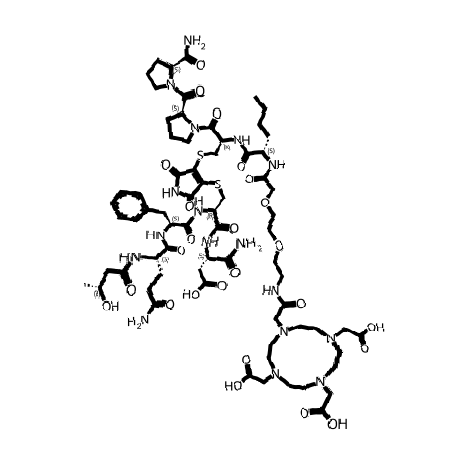 CCCC[C@H](NC(=O)COCCOCCNC(=O)CN1CCN(CC(=O)O)CCN(CC(=O)O)CCN(CC(=O)O)CC1)C(=O)N[C@@H](CSC1=C(SC[C@H](NC(=O)[C@H](Cc2ccccc2)NC(=O)[C@H](CCC(N)=O)NC(=O)C[C@@H](C)O)C(=O)N[C@@H](CC(=O)O)C(N)=O)C(=O)NC1=O)C(=O)N1CCC[C@H]1C(=O)N1CCC[C@H]1C(N)=O